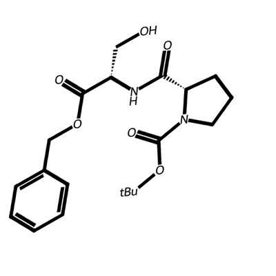 CC(C)(C)OC(=O)N1CCC[C@H]1C(=O)N[C@@H](CO)C(=O)OCc1ccccc1